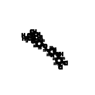 CC(C)(C)[Si](C)(C)Oc1ccc(OCc2cnc(Nc3ccc(Cl)c(Cl)c3)nc2)cc1